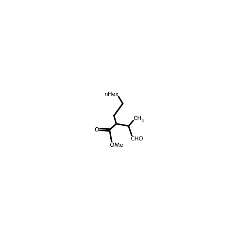 CCCCCCCCC(C(=O)OC)C(C)C=O